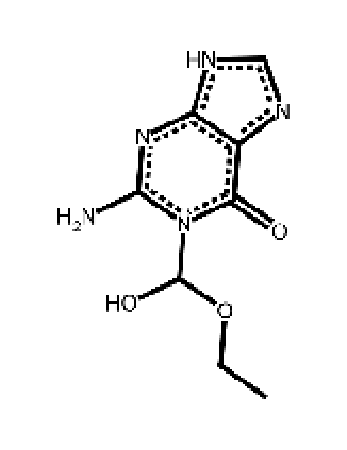 CCOC(O)n1c(N)nc2[nH]cnc2c1=O